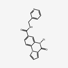 CCn1c(=O)c2cccn2c2ccc(C(=O)NCc3cccnc3)cc21